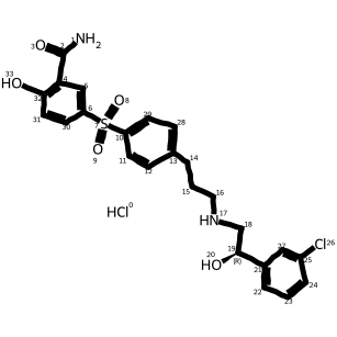 Cl.NC(=O)c1cc(S(=O)(=O)c2ccc(CCCNC[C@H](O)c3cccc(Cl)c3)cc2)ccc1O